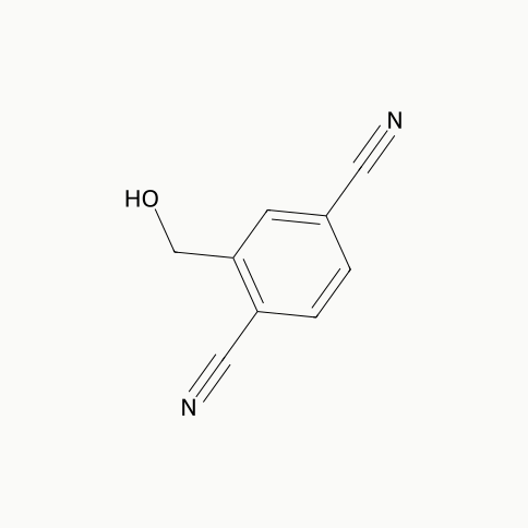 N#Cc1ccc(C#N)c(CO)c1